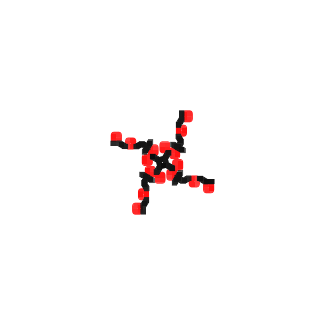 CC(C)(CCOCC1CO1)OC(=O)C1C(C(=O)OC(C)(C)CCOCC2CO2)C(C(=O)OC(C)(C)CCOCC2CO2)C1C(=O)OC(C)(C)CCOCC1CO1